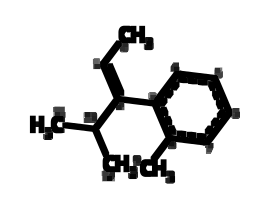 C/C=C(\c1ccccc1C)C(C)C